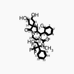 Cc1ccccc1C1C2CC(CCO)(CCO)C(=O)N2CCN1C(=O)N(C)C(CO)(c1ccccc1)C(F)(F)F